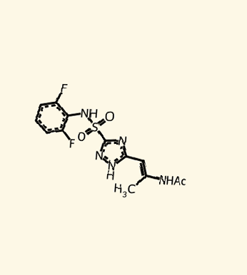 CC(=O)NC(C)=Cc1nc(S(=O)(=O)Nc2c(F)cccc2F)n[nH]1